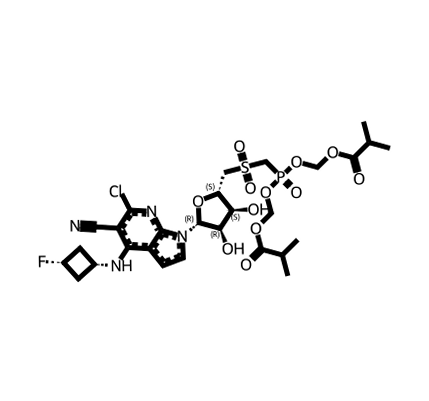 CC(C)C(=O)OCOP(=O)(CS(=O)(=O)C[C@H]1O[C@@H](n2ccc3c(N[C@H]4C[C@@H](F)C4)c(C#N)c(Cl)nc32)[C@H](O)[C@@H]1O)OCOC(=O)C(C)C